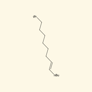 CCCC/C=C/CCCCCC[C](C)C